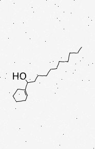 CCCCCCCCCCC(O)C1=CCCCC1